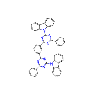 c1ccc(-c2nc(-c3cccc(-c4nc(-c5ccccc5)nc(-n5c6ccccc6c6ccccc65)n4)c3)nc(-n3c4ccccc4c4ccccc43)n2)cc1